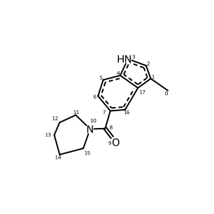 Cc1c[nH]c2ccc(C(=O)N3CCCCC3)cc12